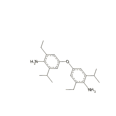 CCc1cc(Oc2cc(CC)c(N)c(C(C)C)c2)cc(C(C)C)c1N